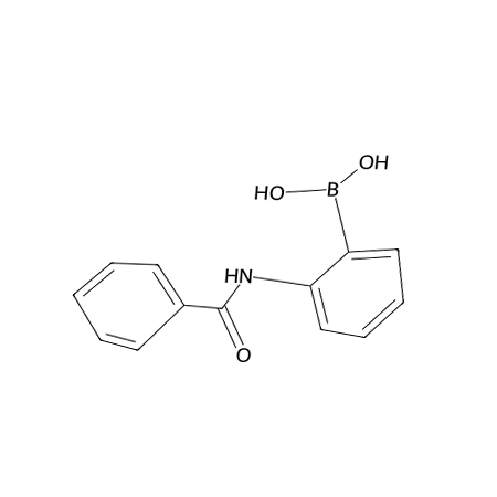 O=C(Nc1ccccc1B(O)O)c1ccccc1